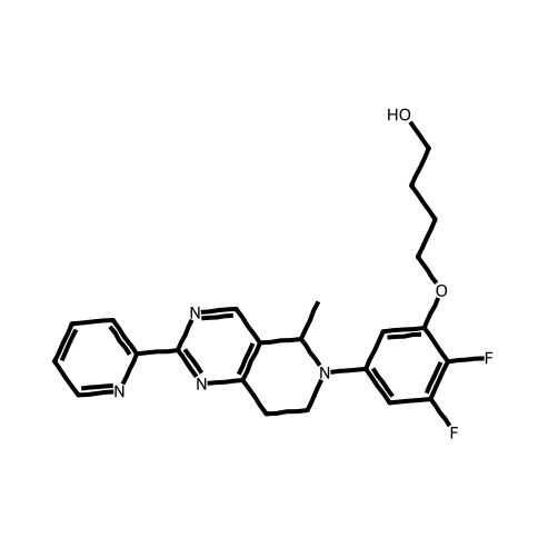 CC1c2cnc(-c3ccccn3)nc2CCN1c1cc(F)c(F)c(OCCCCO)c1